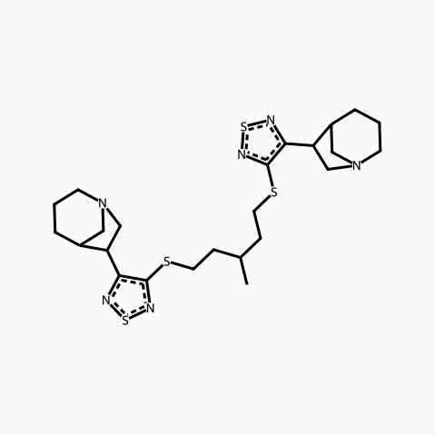 CC(CCSc1nsnc1C1CN2CCCC1C2)CCSc1nsnc1C1CN2CCCC1C2